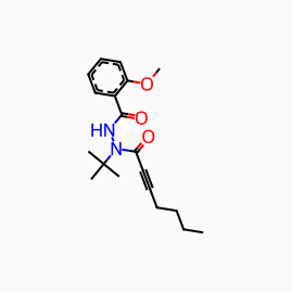 CCCCC#CC(=O)N(NC(=O)c1ccccc1OC)C(C)(C)C